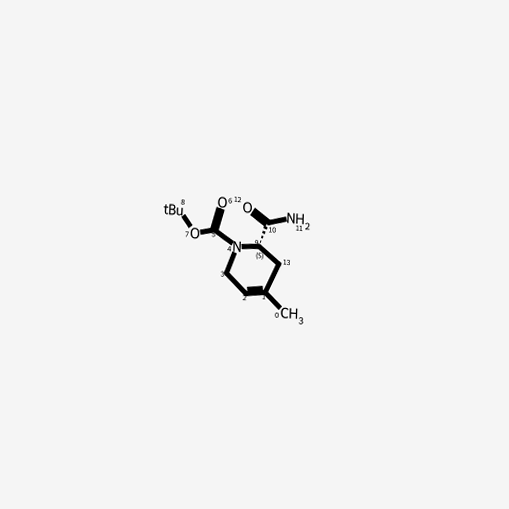 CC1=CCN(C(=O)OC(C)(C)C)[C@H](C(N)=O)C1